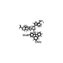 C=C(C)[C@@H]1CC[C@]2(C)S[P@](=S)(O[C@H]3C[C@H](n4cnc5c(N)ncnc54)O[C@@H]3COC(c3ccccc3)(c3ccc(OC)cc3)c3ccc(OC)cc3)O[C@H]2C1